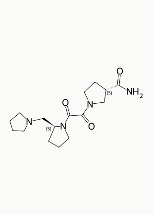 NC(=O)[C@H]1CCN(C(=O)C(=O)N2CCC[C@H]2CN2CCCC2)C1